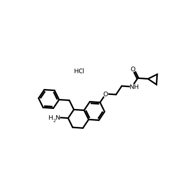 Cl.NC1CCc2ccc(OCCNC(=O)C3CC3)cc2C1Cc1ccccc1